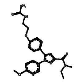 CCN(C)C(=O)c1cc(-c2ccc(OCCNC(N)=O)cc2)n(-c2ccc(OC)nc2)n1